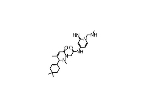 CNCn1ccc(NC(=O)CN2C(=O)C=C(C)C(C3=CCC(C)(C)CC3)N2C)cc1=N